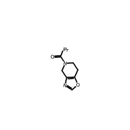 CC(C)C(=O)N1CCc2ocnc2C1